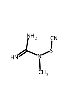 CN(SC#N)C(=N)N